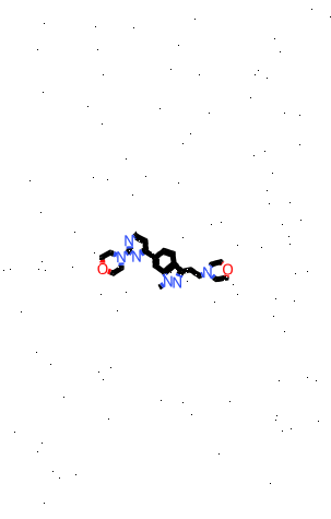 Cn1nc(CCN2CCOCC2)c2ccc(-c3c[c]nc(N4CCOCC4)n3)cc21